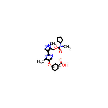 Cc1nc(-c2cnn(C)c2COC(=O)N(C)C2CCCC2)ncc1O[C@H]1CCC[C@H](C(=O)O)C1